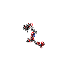 C/C=C/[C@H](O[Si](C)(C)C(C)(C)C)C(C)(C)[C@H](C\C=C/C=C\C=C\[C@@H](Cc1nc(C(=O)OC)co1)OC)OC(=O)c1coc(/C=C\C=C\[C@@H]2C[C@@H]2/C=C\C[C@H](O)C(C)(C)[C@H](/C=C/C)O[Si](C)(C)C(C)(C)C)n1